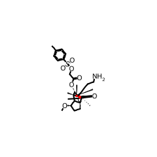 CO[C@@H]1CC[C@]23CC[C@@H](C)[C@](C)(C12)[C@H](OC(=O)COS(=O)(=O)c1ccc(C)cc1)C[C@](C)(CCN)C(=O)[C@@H]3C